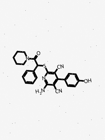 N#Cc1c(N)nc(SC(C(=O)N2CCCCC2)c2ccccc2)c(C#N)c1-c1ccc(O)cc1